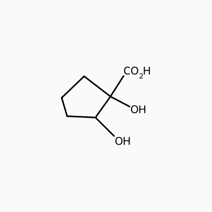 O=C(O)C1(O)CCCC1O